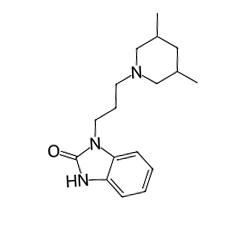 CC1CC(C)CN(CCCn2c(=O)[nH]c3ccccc32)C1